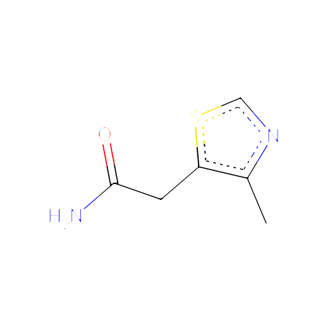 Cc1ncsc1CC(N)=O